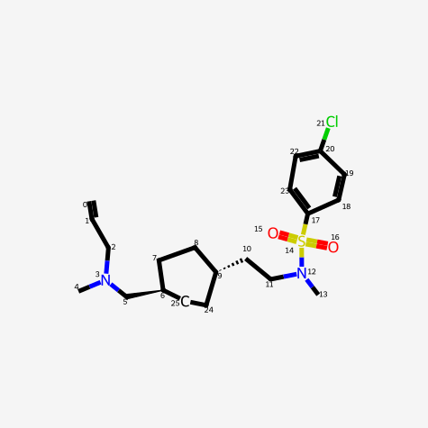 C=CCN(C)C[C@H]1CC[C@H](CCN(C)S(=O)(=O)c2ccc(Cl)cc2)CC1